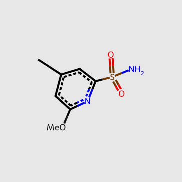 COc1cc(C)cc(S(N)(=O)=O)n1